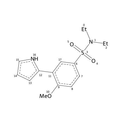 CCN(CC)S(=O)(=O)c1ccc(OC)c(-c2ccc[nH]2)c1